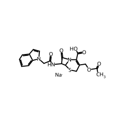 CC(=O)OCC1=C(C(=O)O)N2C(=O)C(NC(=O)Cn3ccc4ccccc43)C2SC1.[Na]